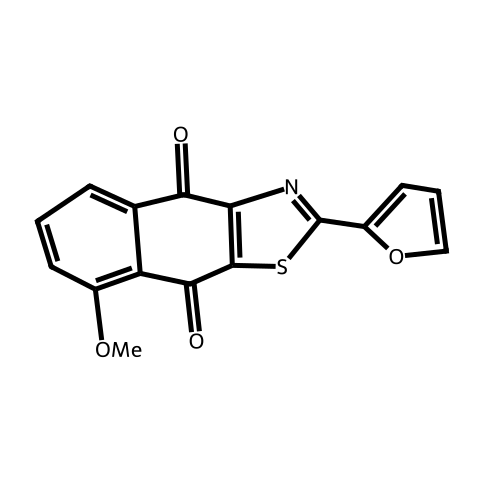 COc1cccc2c1C(=O)c1sc(-c3ccco3)nc1C2=O